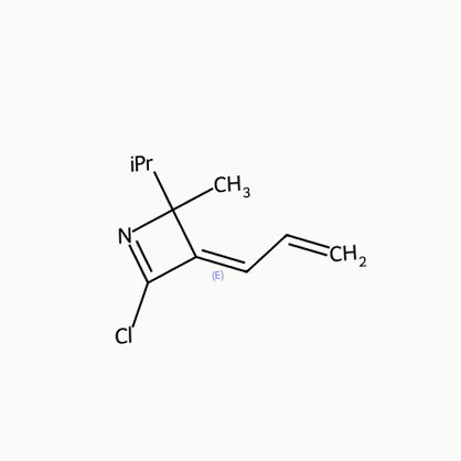 C=C/C=C1/C(Cl)=NC1(C)C(C)C